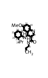 C=CCNC(=O)c1cnc2ccc(OC)cc2c1Nc1ccccc1C(C)C